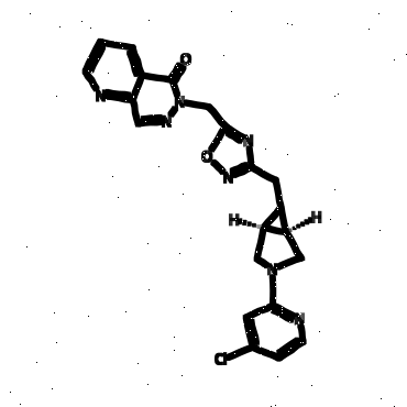 O=c1c2cccnc2cnn1Cc1nc(CC2[C@H]3CN(c4cc(Cl)ccn4)C[C@@H]23)no1